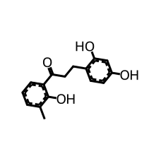 Cc1cccc(C(=O)CCc2ccc(O)cc2O)c1O